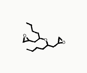 CCCCC(CC1CO1)OC(CCCC)CC1CO1